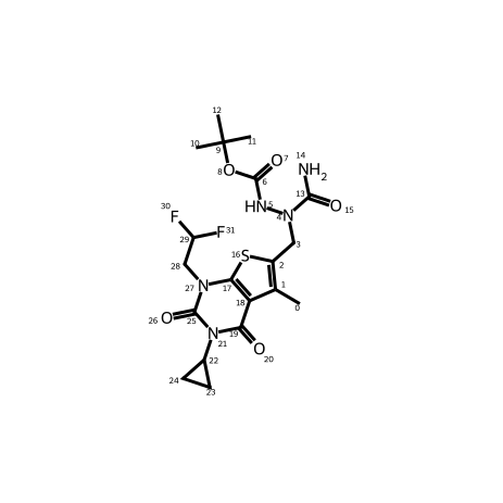 Cc1c(CN(NC(=O)OC(C)(C)C)C(N)=O)sc2c1c(=O)n(C1CC1)c(=O)n2CC(F)F